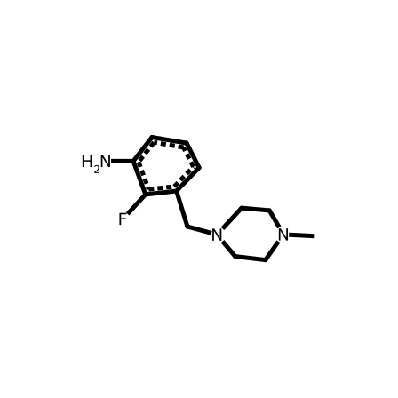 CN1CCN(Cc2cccc(N)c2F)CC1